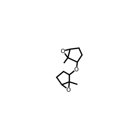 CC12OC1CCC2OC1CCC2OC12C